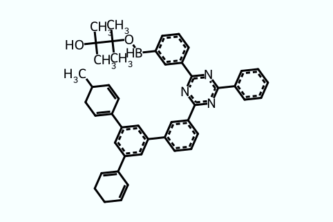 CC1C=CC(c2cc(C3=CCCC=C3)cc(-c3cccc(-c4nc(-c5ccccc5)nc(-c5cccc(BOC(C)(C)C(C)(C)O)c5)n4)c3)c2)=CC1